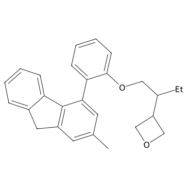 CCC(COc1ccccc1-c1cc(C)cc2c1-c1ccccc1C2)C1COC1